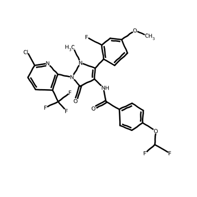 COc1ccc(-c2c(NC(=O)c3ccc(OC(F)F)cc3)c(=O)n(-c3nc(Cl)ccc3C(F)(F)F)n2C)c(F)c1